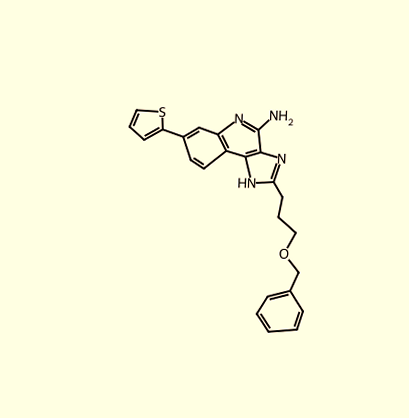 Nc1nc2cc(-c3cccs3)ccc2c2[nH]c(CCCOCc3ccccc3)nc12